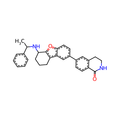 CC(NC1CCCc2c1oc1ccc(-c3ccc4c(c3)CCNC4=O)cc21)c1ccccc1